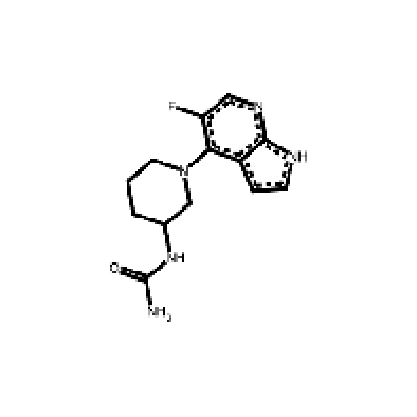 NC(=O)NC1CCCN(c2c(F)cnc3[nH]ccc23)C1